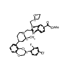 COC(=O)c1ccc2nc(CN3CCC(c4cccc5c4O[C@@H](c4ccc(Cl)cc4F)CO5)C[C@@H]3C)n(C[C@@H]3CCO3)c2c1